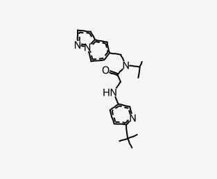 CC(C)N(Cc1ccn2nccc2c1)C(=O)CNc1ccc(C(C)(C)C)nc1